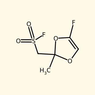 CC1(CS(=O)(=O)F)OC=C(F)O1